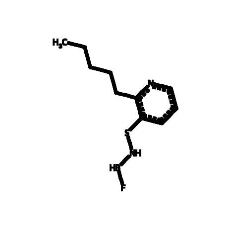 CCCCCc1ncccc1SNBF